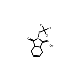 O=C1C2CC=CCC2C(=O)N1SC(Cl)(Cl)Cl.[Cu]